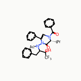 CC(=O)N(C(Cc1ccccc1)C(O)C(F)(F)F)N1C(=O)[C@@H](C(C)C)N(C(=O)c2ccccc2)C=C1c1ccccc1